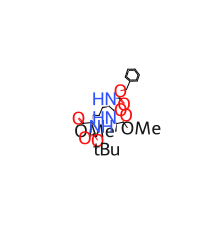 COC(=O)[C@H](CCC[C@@H](NC(=O)OCc1ccccc1)C(=O)N[C@H](C)C(=O)OC)NC(=O)OC(C)(C)C